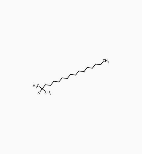 CCCCCCCCCCCCCCCC(C)(C)[S]